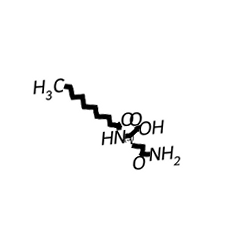 CCCCCCCCCC(=O)N[C@@H](CCC(N)=O)C(=O)O